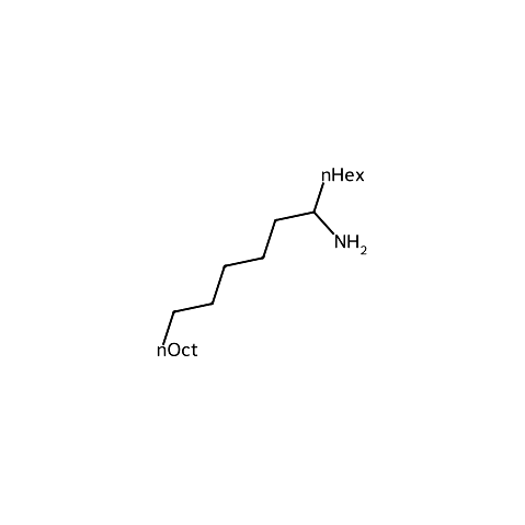 CCCCCCCCCCCCCC(N)CCCCCC